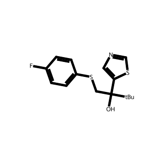 CC(C)(C)C(O)(CSc1ccc(F)cc1)c1cncs1